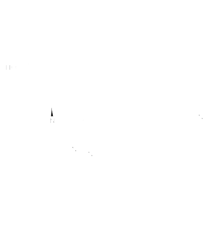 Cn1nc(-c2ccc(C#N)cc2)sc1=N[C@@H]1CCC[C@@H](O)C1